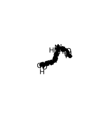 Cc1cc(-c2ncnc3[nH]c(-c4ccc(N5CCN(CC6CCN(c7ccc(C8CCC(=O)NC8=O)cc7)CC6)CC5)cc4)cc23)ccc1C(C)NC(=O)c1nc(C(C)(C)C)no1